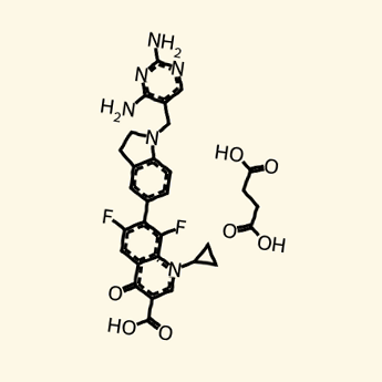 Nc1ncc(CN2CCc3cc(-c4c(F)cc5c(=O)c(C(=O)O)cn(C6CC6)c5c4F)ccc32)c(N)n1.O=C(O)CCC(=O)O